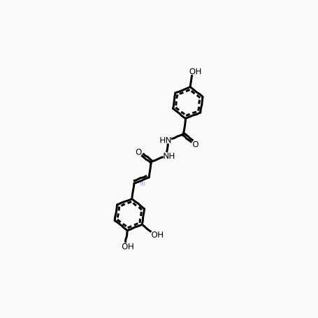 O=C(/C=C/c1ccc(O)c(O)c1)NNC(=O)c1ccc(O)cc1